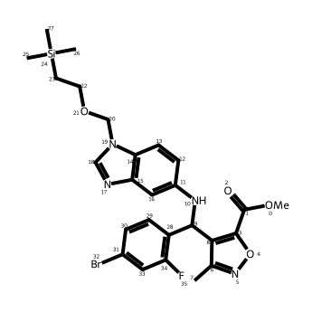 COC(=O)c1onc(C)c1C(Nc1ccc2c(c1)ncn2COCC[Si](C)(C)C)c1ccc(Br)cc1F